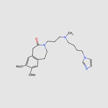 COc1cc2c(cc1OC)CC(=O)N(CCCN(C)CCCCn1ccnc1)CC2